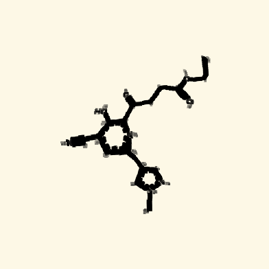 CCOC(=O)CCC(=O)c1nc(-c2cnn(C)c2)cc(C#N)c1O